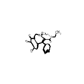 CCOC(=O)c1c(-c2ccccc2)c2cc(Cl)c(Cl)c(=O)c-2cn1C